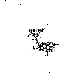 CC(CCCNC(CCC1(C)NN1)C(=O)NCN=[N+]=[N-])C1CCC2C3C(O)C(O)C4CC(O)CCC4(C)C3CCC12C